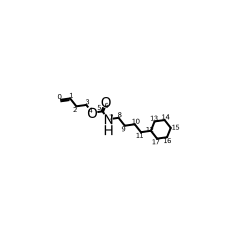 C=CCCOC(=O)NCCCCC1CCCCC1